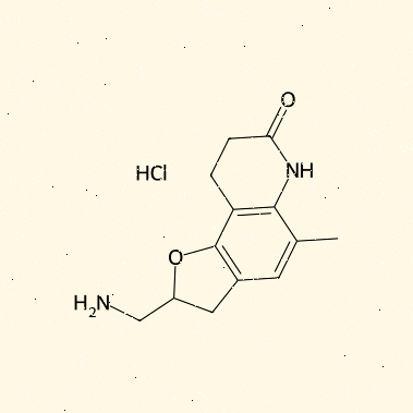 Cc1cc2c(c3c1NC(=O)CC3)OC(CN)C2.Cl